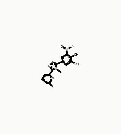 Cn1c(-c2cc(O)c(O)c([N+](=O)[O-])c2)nnc1-c1cccc(F)n1